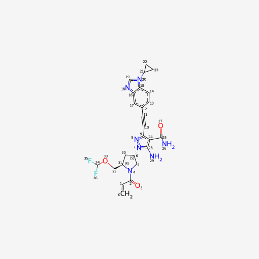 C=CC(=O)N1C[C@@H](n2nc(C#Cc3ccc4c(c3)ncn4C3CC3)c(C(N)=O)c2N)C[C@@H]1COC(F)F